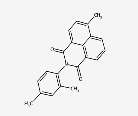 Cc1ccc(N2C(=O)c3cccc4c(C)ccc(c34)C2=O)c(C)c1